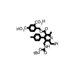 Cc1ccc(-c2c(CNC(=O)OC(C)(C)C)c(CC(C)C)nc(C)c2C(=O)OCc2ccc(C(=O)O)cc2C(=O)O)cc1